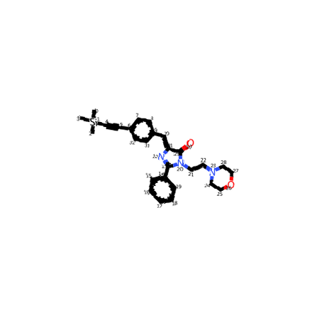 C[Si](C)(C)C#Cc1ccc(/C=C2\N=C(c3ccccc3)N(CCN3CCOCC3)C2=O)cc1